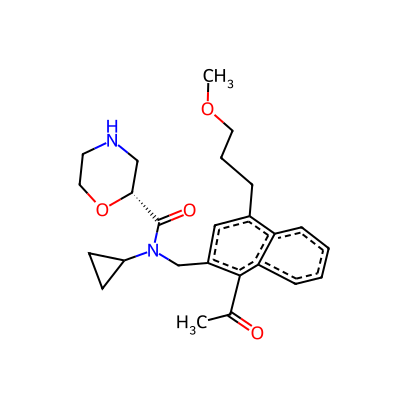 COCCCc1cc(CN(C(=O)[C@H]2CNCCO2)C2CC2)c(C(C)=O)c2ccccc12